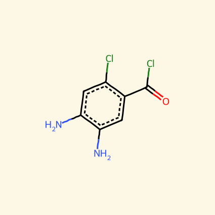 Nc1cc(Cl)c(C(=O)Cl)cc1N